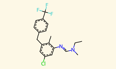 CCN(C)C=Nc1cc(Cl)cc(Cc2ccc(C(F)(F)F)cc2)c1C